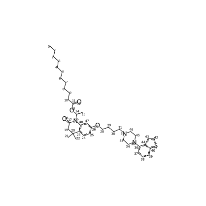 CCCCCCCCCCCC(=O)OC(C)N1C(=O)CC(C)(C)c2ccc(OCCCCN3CCN(c4cccc5sccc45)CC3)cc21